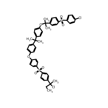 CCC(C)(Cl)c1ccc(S(=O)(=O)c2ccc(Oc3ccc(C(C)(C)c4ccc(OC(C)(C)c5ccc(S(=O)(=O)c6ccc(Cl)cc6)cc5)cc4)cc3)cc2)cc1